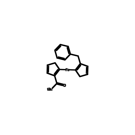 CC(C)(C)C(=O)C1=[C]([Fe][C]2=C(Cc3ccccc3)C=CC2)CC=C1